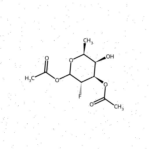 CC(=O)OC1O[C@@H](C)[C@@H](O)[C@@H](OC(C)=O)[C@@H]1F